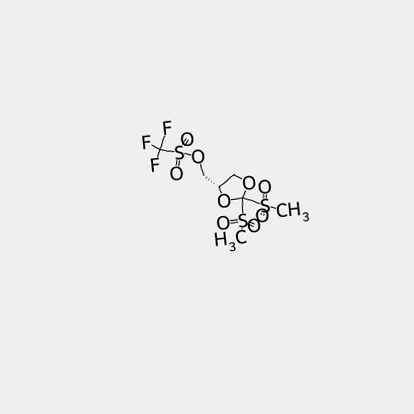 CS(=O)(=O)C1(S(C)(=O)=O)OC[C@@H](COS(=O)(=O)C(F)(F)F)O1